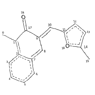 CC1=c2ccccc2=CC(=Cc2ccc(C)o2)C1=O